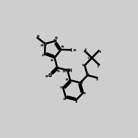 CC(CC(C)(C)C)c1ccccc1NC(=O)c1cn(C)nc1I